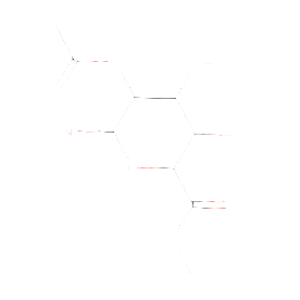 COC(=O)C1OC(Br)C(OC(C)=O)C(O)C1O